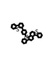 c1ccc2c(c1)sc1c(-c3ccc(-n4c5ccccc5c5ccc6c(ccc7sc8ccccc8c76)c54)cc3)cccc12